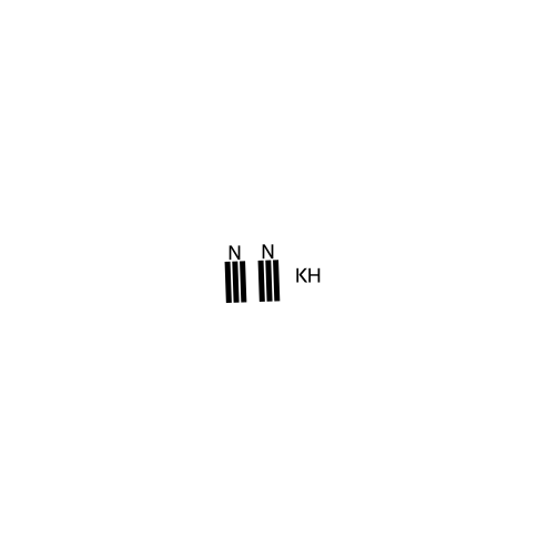 C#N.C#N.[KH]